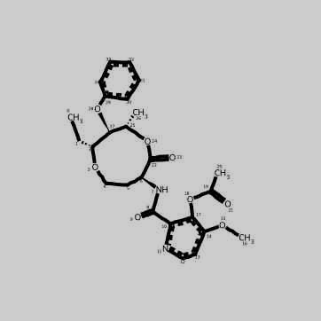 CC[C@H]1OCC[C@H](NC(=O)c2nccc(OC)c2OC(C)=O)C(=O)O[C@@H](C)[C@@H]1Oc1ccccc1